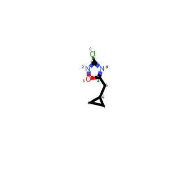 Clc1noc(CC2CC2)n1